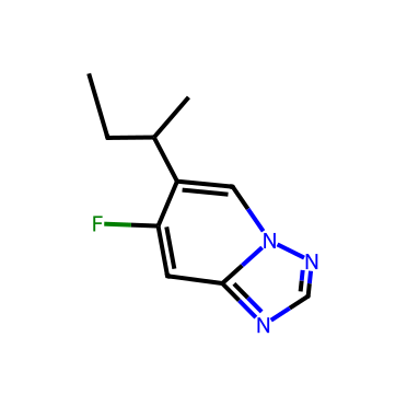 CCC(C)c1cn2ncnc2cc1F